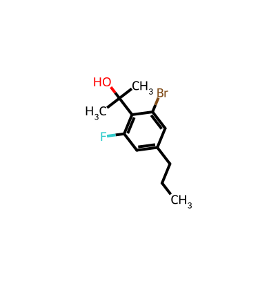 CCCc1cc(F)c(C(C)(C)O)c(Br)c1